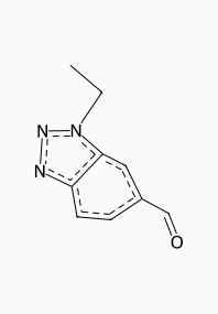 CCn1nnc2ccc(C=O)cc21